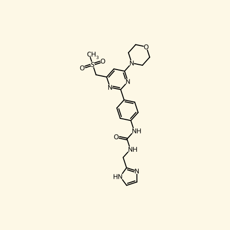 CS(=O)(=O)Cc1cc(N2CCOCC2)nc(-c2ccc(NC(=O)NCc3ncc[nH]3)cc2)n1